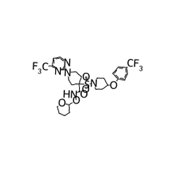 O=C(NOC1CCCCO1)C1(S(=O)(=O)N2CCC(Oc3ccc(C(F)(F)F)cc3)CC2)CCN(c2nccc(C(F)(F)F)n2)CC1